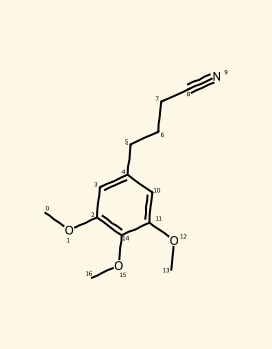 COc1cc([CH]CCC#N)cc(OC)c1OC